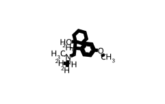 [2H]C([2H])([2H])N(C)C[C@]([2H])(c1ccc(OC)cc1)C1(O)CCCCC1